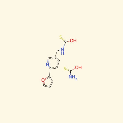 NC(O)=S.OC(=S)NCc1ccc(-c2ccco2)nc1